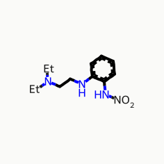 CCN(CC)CCNc1ccccc1N[N+](=O)[O-]